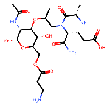 CC(=O)N[C@@H]1[C@@H](OC(C)CN(C(=O)[C@H](C)N)[C@H](CCC(=O)O)C(N)=O)[C@H](O)[C@@H](COC(=O)CCN)O[C@@H]1O